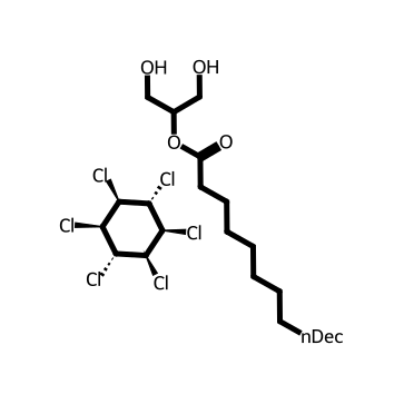 CCCCCCCCCCCCCCCCCC(=O)OC(CO)CO.Cl[C@H]1[C@H](Cl)[C@@H](Cl)[C@@H](Cl)[C@H](Cl)[C@H]1Cl